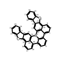 c1cc2c3c(c1)-c1cccc4c1c(cc1c5ccccc5oc41)B3c1cc3c4ccccc4oc3c3cccc-2c13